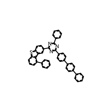 c1ccc(-c2ccc(-c3ccc(-c4nc(-c5ccccc5)nc(-c5ccc6sc7cccc(-c8ccccc8)c7c6c5)n4)cc3)cc2)cc1